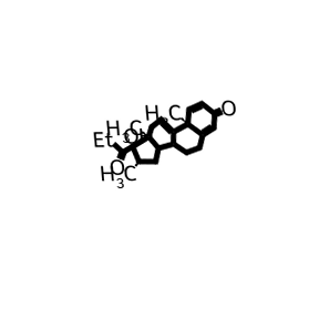 CCC(=O)[C@@]1(O)[C@@H](C)CC2C3CCC4=CC(=O)C=C[C@]4(C)C3=CC[C@@]21C